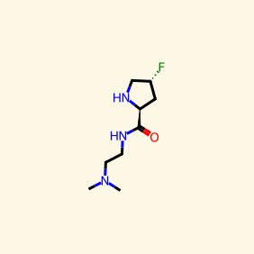 CN(C)CCNC(=O)[C@@H]1C[C@@H](F)CN1